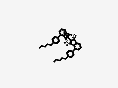 CCCCCc1ccc(-c2cccc3c2C2=C(CC)[CH]3[Zr][CH]3C(CC)=C(c4c(-c5ccc(CCCCC)cc5)cccc43)[Si]2(C)C)cc1